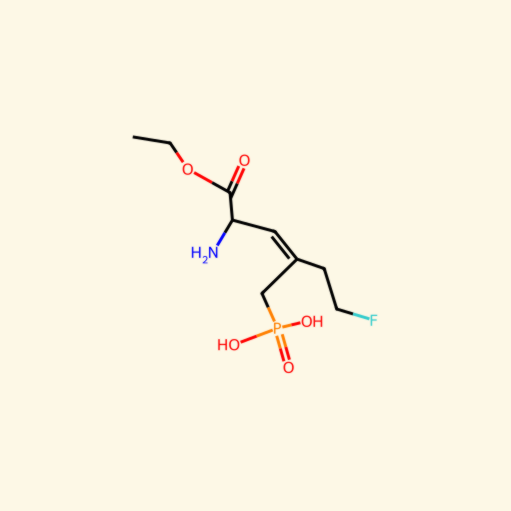 CCOC(=O)C(N)C=C(CCF)CP(=O)(O)O